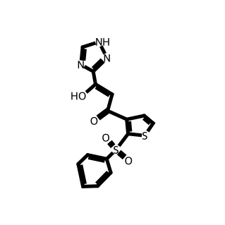 O=C(C=C(O)c1nc[nH]n1)c1ccsc1S(=O)(=O)c1ccccc1